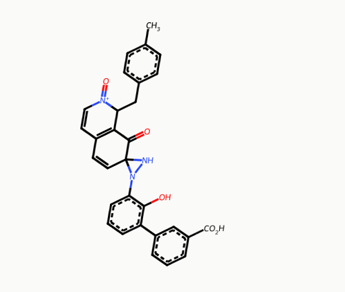 Cc1ccc(CC2C3=C(C=C[N+]2=O)C=CC2(NN2c2cccc(-c4cccc(C(=O)O)c4)c2O)C3=O)cc1